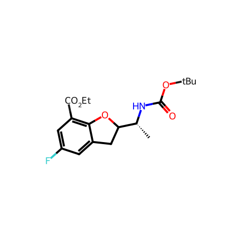 CCOC(=O)c1cc(F)cc2c1OC([C@@H](C)NC(=O)OC(C)(C)C)C2